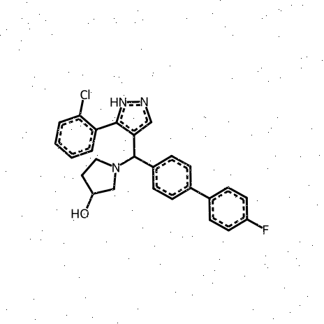 OC1CCN(C(c2ccc(-c3ccc(F)cc3)cc2)c2cn[nH]c2-c2ccccc2Cl)C1